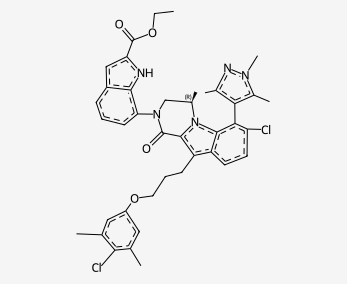 CCOC(=O)c1cc2cccc(N3C[C@@H](C)n4c(c(CCCOc5cc(C)c(Cl)c(C)c5)c5ccc(Cl)c(-c6c(C)nn(C)c6C)c54)C3=O)c2[nH]1